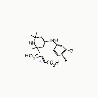 CC1(C)CC(Nc2ccc(F)c(Cl)c2)CC(C)(C)N1.O=C(O)/C=C/C(=O)O